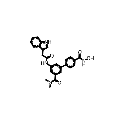 CN(C)C(=O)c1cc(NC(=O)Cc2c[nH]c3ccccc23)cc(-c2ccc(C(=O)NO)cc2)c1